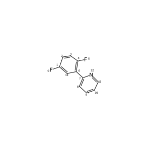 Fc1ccc(F)c(-c2c[c]ccn2)c1